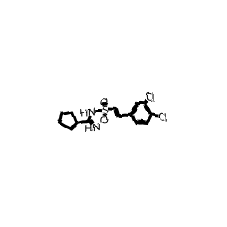 N=C(NS(=O)(=O)/C=C/c1ccc(Cl)c(Cl)c1)C1CCCC1